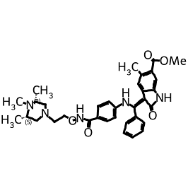 COC(=O)c1cc2c(cc1C)C(=C(Nc1ccc(C(=O)NOCCN3C[C@@H](C)N(C)[C@@H](C)C3)cc1)c1ccccc1)C(=O)N2